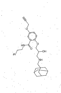 C#CCOc1ccc(OCC(O)CNCC23CC4CC(CC(C4)C2)C3)c(C(=O)NCCC(C)C)c1